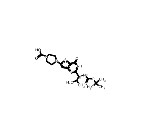 CC(C)[C@H](NC(=O)OC(C)(C)C)c1nc2cc(N3CCN(C(=O)O)CC3)sc2c(=O)[nH]1